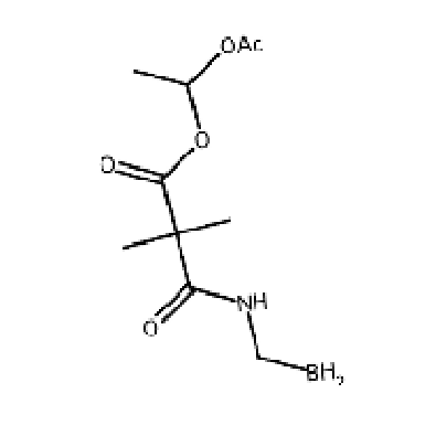 BCNC(=O)C(C)(C)C(=O)OC(C)OC(C)=O